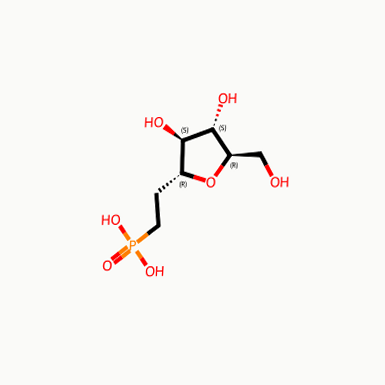 O=P(O)(O)CC[C@H]1O[C@H](CO)[C@@H](O)[C@@H]1O